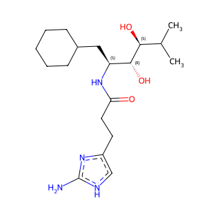 CC(C)[C@H](O)[C@H](O)[C@H](CC1CCCCC1)NC(=O)CCc1c[nH]c(N)n1